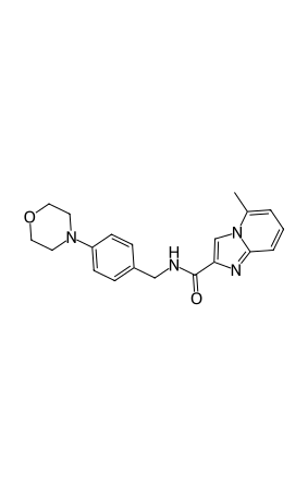 Cc1cccc2nc(C(=O)NCc3ccc(N4CCOCC4)cc3)cn12